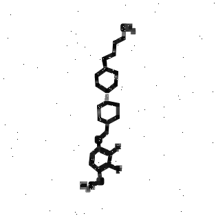 CCCCC[C@H]1CC[C@H](C2CCC(COc3ccc(OC)c(F)c3F)CC2)CC1